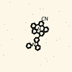 N#Cc1cc(-c2ccccc2)c(-n2c3ccccc3c3c(-c4ccc5c(c4)c4ccccc4n5-c4ccccc4)cccc32)c(-c2ccccc2)c1